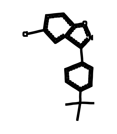 CC(C)(C)c1ccc(-c2noc3ccc(Cl)cc23)cc1